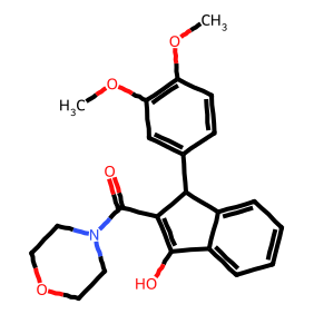 COc1ccc(C2C(C(=O)N3CCOCC3)=C(O)c3ccccc32)cc1OC